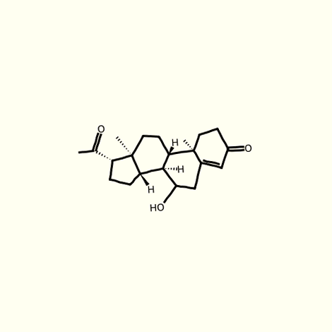 CC(=O)[C@H]1CC[C@H]2[C@@H]3C(O)CC4=CC(=O)CC[C@]4(C)[C@H]3CC[C@]12C